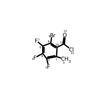 Cc1c(F)c(F)c(F)c(Br)c1C(=O)Cl